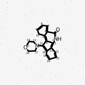 O=c1[nH]c2c(c3c1=CC=CC3)C(N1CCOCC1)=c1ccccc1=2